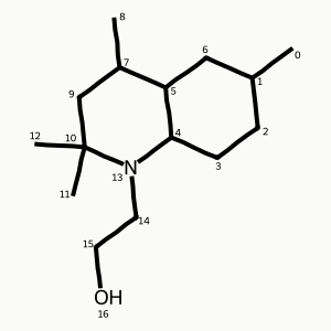 CC1CCC2C(C1)C(C)CC(C)(C)N2CCO